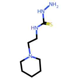 NNC(=S)NCCN1CCCCC1